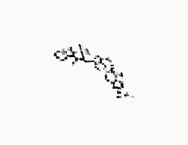 C=C(/C=C(\N=C/N)N1CCC(N2CCc3cc(OC)ccc3NC2=O)CC1)C(=O)c1cnn2c1CCCC2